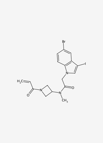 C=CC(=O)N1CC(N(C)C(=O)Cn2cc(I)c3cc(Br)ccc32)C1